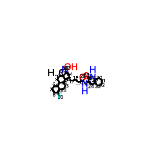 C[C@]12CCC3c4cccc(F)c4CCC3C1[C@H](CCCC(=O)Nc1cc3c([nH]c1=O)CCCC3)C/C2=N\O